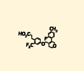 Cc1ccc(C2=C(COc3ccc(CCC(=O)O)c(C(F)(F)F)c3)CCOC2)c(F)c1